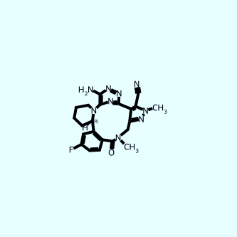 CN1Cc2nn(C)c(C#N)c2-c2nnc(N)c(n2)N2CCCC[C@@H]2c2cc(F)ccc2C1=O